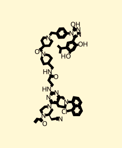 C=CC(=O)N1CCN(c2nc(NCCC(=O)NCC3CCN(C(=O)C4CCN(Cc5ccc(-n6c(O)nnc6-c6cc(C(C)C)c(O)cc6O)cc5)CC4)CC3)nc3c2CCN(c2cccc4cccc(Cl)c24)C3)C[C@H]1CC#N